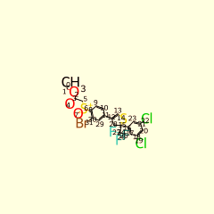 CCOC(=O)C[S+]([O-])c1ccc(C2=CSC(c3cc(Cl)cc(Cl)c3)(C(F)(F)F)C2)cc1Br